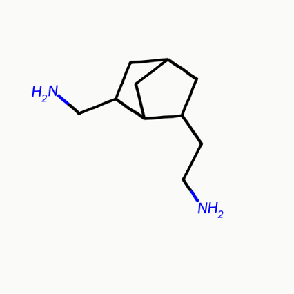 NCCC1CC2CC(CN)C1C2